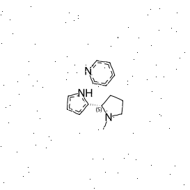 CN1CCC[C@H]1c1ccc[nH]1.c1ccncc1